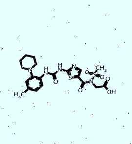 Cc1ccc(NC(=O)Nc2ncc(C(=O)N(CC(=O)O)S(C)(=O)=O)s2)c(N2CCCCC2)c1